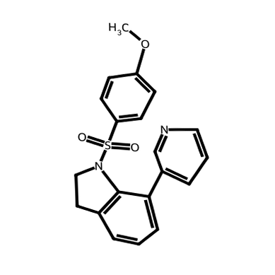 COc1ccc(S(=O)(=O)N2CCc3cccc(-c4cccnc4)c32)cc1